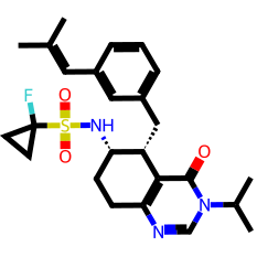 CC(C)=Cc1cccc(C[C@@H]2c3c(ncn(C(C)C)c3=O)CC[C@@H]2NS(=O)(=O)C2(F)CC2)c1